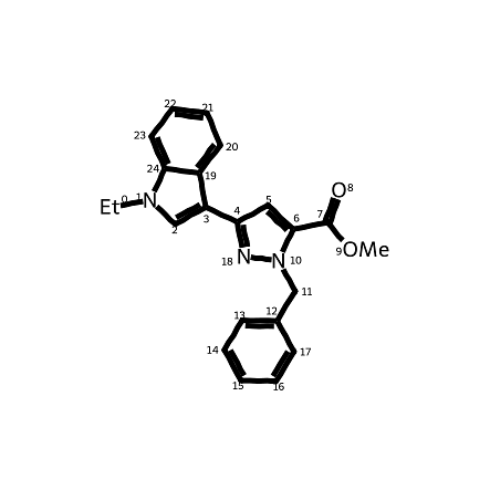 CCn1cc(-c2cc(C(=O)OC)n(Cc3ccccc3)n2)c2ccccc21